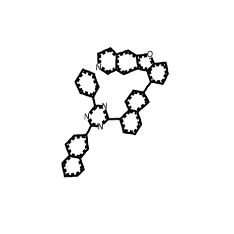 c1ccc(-c2nc(-c3ccc4ccccc4c3)nc(-c3cccc4cc(-c5cccc6oc7cc8ccncc8cc7c56)ccc34)n2)cc1